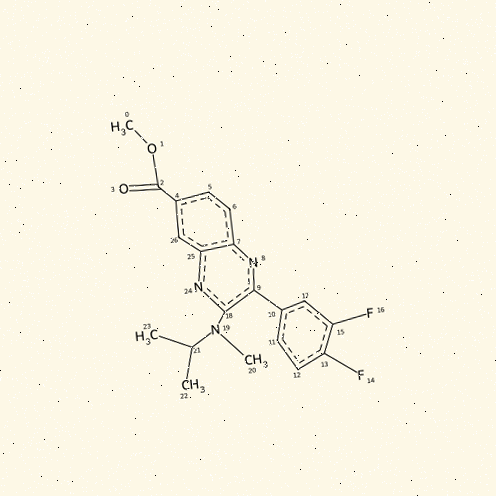 COC(=O)c1ccc2nc(-c3ccc(F)c(F)c3)c(N(C)C(C)C)nc2c1